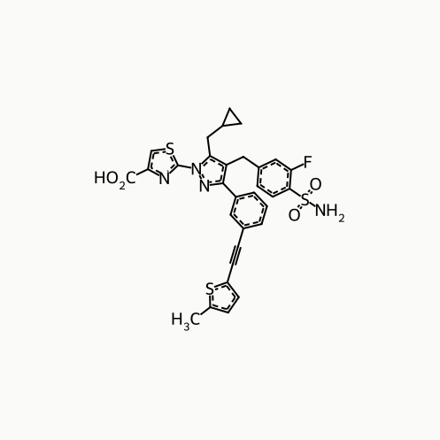 Cc1ccc(C#Cc2cccc(-c3nn(-c4nc(C(=O)O)cs4)c(CC4CC4)c3Cc3ccc(S(N)(=O)=O)c(F)c3)c2)s1